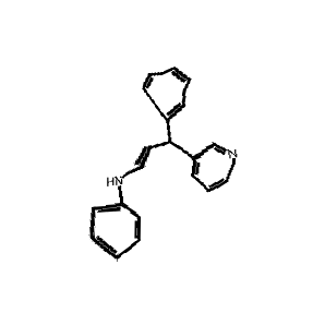 [c]1ccc(NC=CC(c2ccccc2)c2cccnc2)cc1